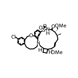 COC[C@H]1C(=O)NS(=O)(=O)c2ccc3c(c2)N(CCCCc2ccc(Cl)cc2CO3)C[C@@H]2CC[C@H]2[C@@H](OC)/C=C/C[C@@H]1C